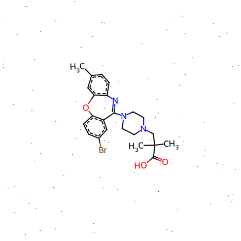 Cc1ccc2c(c1)Oc1ccc(Br)cc1C(N1CCN(CC(C)(C)C(=O)O)CC1)=N2